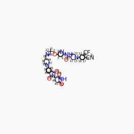 CC1(COc2ccc(NC(=O)C3CCN(c4ccc(C#N)c(C(F)(F)F)c4)CC3)nc2)CN(CC2CCN(c3ccc4c(c3)C(=O)N(C3CCC(=O)NC3=O)C4=O)CC2)C1